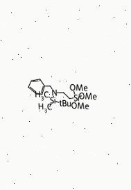 CO[Si](CCN(Cc1ccccc1)[Si](C)(C)C(C)(C)C)(OC)OC